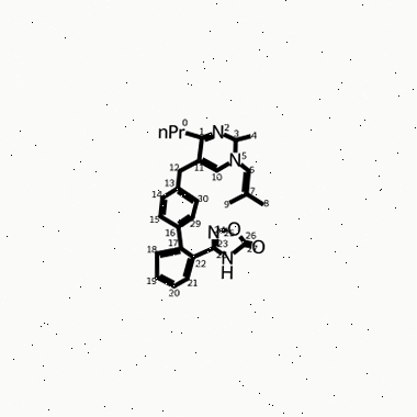 CCCC1=NC(C)N(C=C(C)C)C=C1Cc1ccc(-c2ccccc2-c2noc(=O)[nH]2)cc1